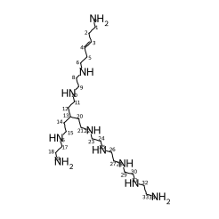 NCC/C=C/CCNCCNCCC(CCNCCN)CCNCCNCCNCCNCCN